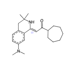 CN(C)c1ccc2c(c1)/C(=C/C(=O)C1CCCCCC1)NC(C)(C)C2